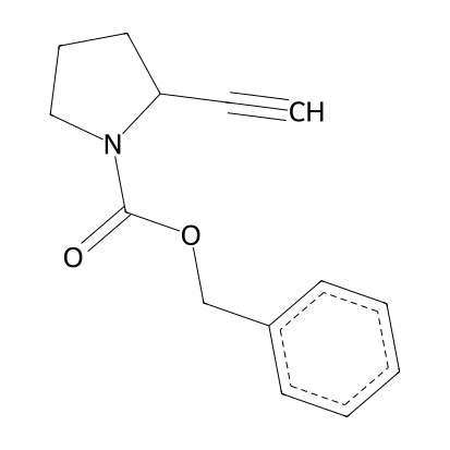 C#CC1CCCN1C(=O)OCc1ccccc1